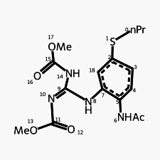 CCCSc1ccc(NC(C)=O)c(NC(=NC(=O)OC)NC(=O)OC)c1